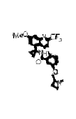 COc1cc(C2(NC(=O)c3cc(OCC4CCN4C)ccc3C)CC2)c2ccc(C(F)(F)F)nc2c1